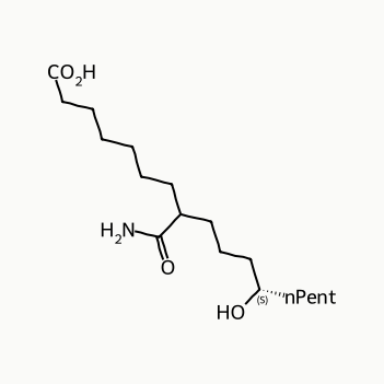 CCCCC[C@H](O)CCCC(CCCCCCC(=O)O)C(N)=O